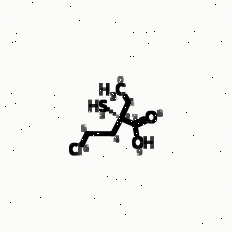 CC[C@](S)(CCCl)C(=O)O